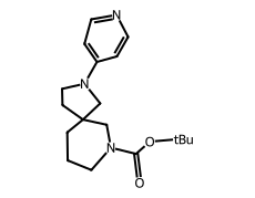 CC(C)(C)OC(=O)N1CCCC2(CCN(c3ccncc3)C2)C1